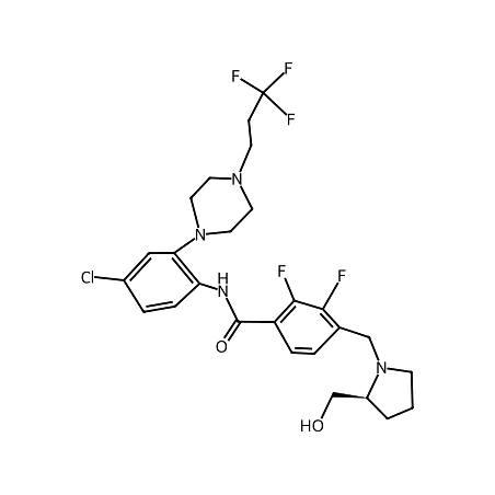 O=C(Nc1ccc(Cl)cc1N1CCN(CCC(F)(F)F)CC1)c1ccc(CN2CCC[C@H]2CO)c(F)c1F